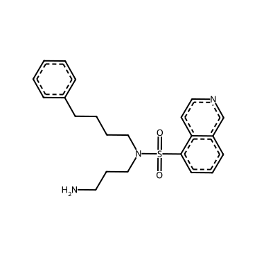 NCCCN(CCCCc1ccccc1)S(=O)(=O)c1cccc2cnccc12